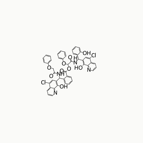 O=C(COc1ccccc1)NC(c1ccccc1C(=O)OC(Oc1ccccc1)C(=O)NC(c1ccccc1O)c1cc(Cl)c2cccnc2c1O)c1cc(Cl)c2cccnc2c1O